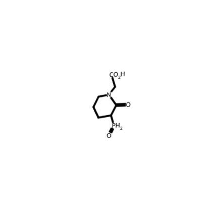 O=[PH2]C1CCCN(CC(=O)O)C1=O